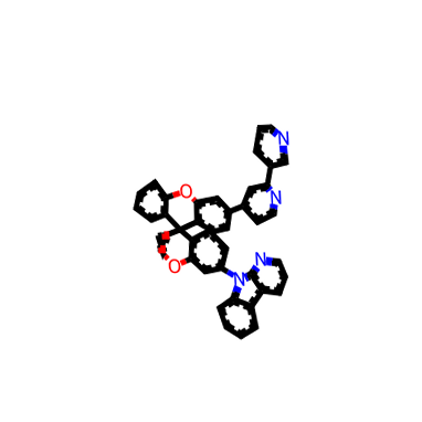 c1cncc(-c2cc(-c3ccc4c(c3)Oc3ccccc3C43c4ccccc4Oc4cc(-n5c6ccccc6c6cccnc65)ccc43)ccn2)c1